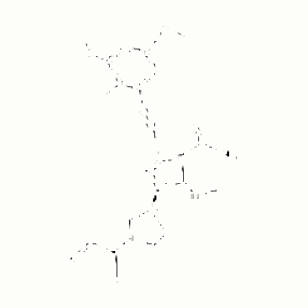 C=CC(=O)N1CC[C@H](n2nc(C#Cc3cc(OC)cc(OC)c3F)c(C(N)=O)c2NC)C1